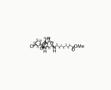 COC(=O)CCCCCCCNC(=O)CC(NS(=O)(=O)c1cccc(Cl)c1)n1ccnc1